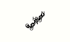 O=C(Nc1ccc(C2=CCN(C(=O)C3CCOC3)CC2)nc1)N1Cc2ccncc2C1